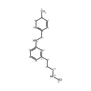 CC1C=CC(CNc2cccc(CCSPN=O)n2)=NC1